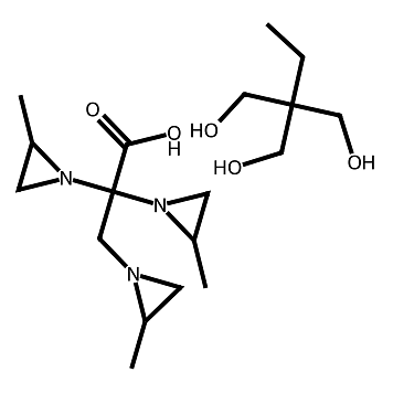 CC1CN1CC(C(=O)O)(N1CC1C)N1CC1C.CCC(CO)(CO)CO